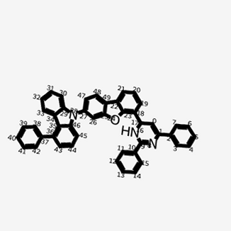 C1=C(c2ccccc2)N=C(c2ccccc2)NC1c1cccc2c1oc1cc(-n3c4ccccc4c4c(-c5ccccc5)cccc43)ccc12